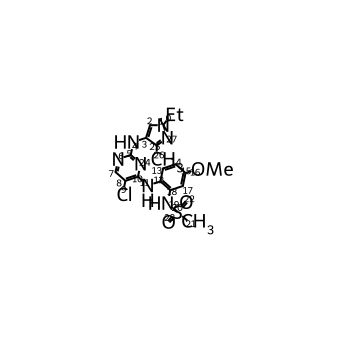 CCn1cc(Nc2ncc(Cl)c(Nc3ccc(OC)cc3NS(C)(=O)=O)n2)c(C)n1